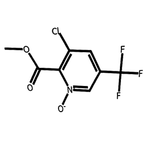 COC(=O)c1c(Cl)cc(C(F)(F)F)c[n+]1[O-]